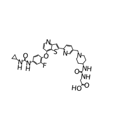 O=C(O)CNC(=O)NC1CCN(Cc2ccc(-c3cc4nccc(Oc5ccc(NC(=O)NC6CC6)cc5F)c4s3)nc2)CC1